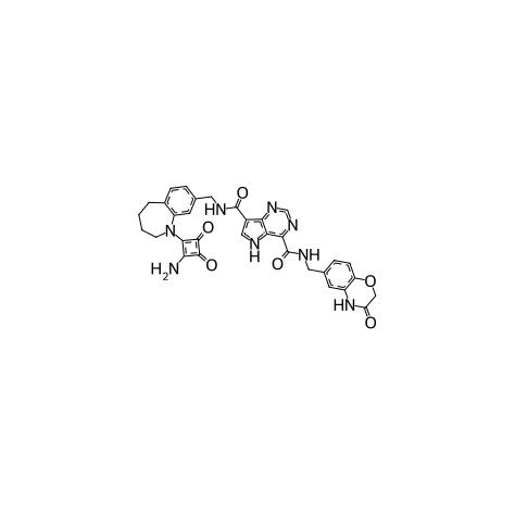 Nc1c(N2CCCCc3ccc(CNC(=O)c4c[nH]c5c(C(=O)NCc6ccc7c(c6)NC(=O)CO7)ncnc45)cc32)c(=O)c1=O